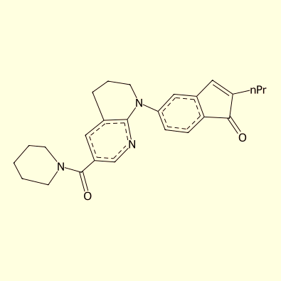 CCCC1=Cc2cc(N3CCCc4cc(C(=O)N5CCCCC5)cnc43)ccc2C1=O